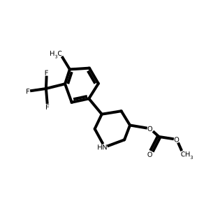 COC(=O)OC1CNCC(c2ccc(C)c(C(F)(F)F)c2)C1